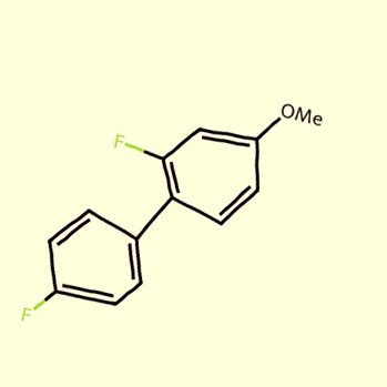 COc1ccc(-c2ccc(F)cc2)c(F)c1